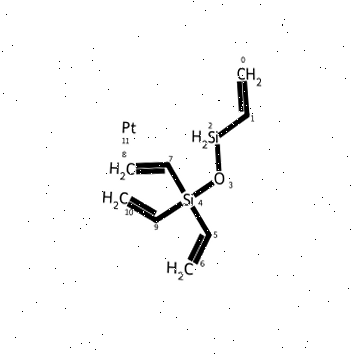 C=C[SiH2]O[Si](C=C)(C=C)C=C.[Pt]